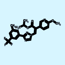 COc1ccc(/C(=C/n2cnc(-c3cc(C)cc(C(F)(F)F)c3)n2)C(=O)OC(C)C)cn1